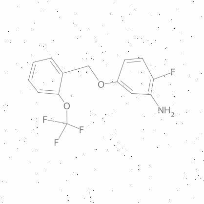 Nc1cc(OCc2ccccc2OC(F)(F)F)ccc1F